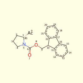 CC(=O)[C@H]1CCCN1C(=O)OCC1c2ccccc2-c2ccccc21